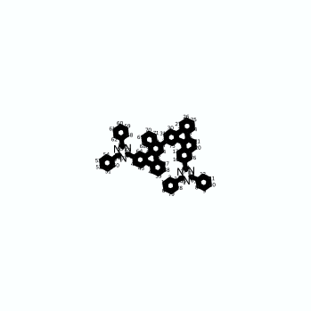 c1ccc(-c2nc(-c3ccccc3)nc(-c3ccc4c(ccc5c6ccccc6c6ccc(-c7cc8c9ccccc9c9ccc(-c%10nc(-c%11ccccc%11)nc(-c%11ccccc%11)n%10)cc9c8c8ccccc78)cc6c45)c3)n2)cc1